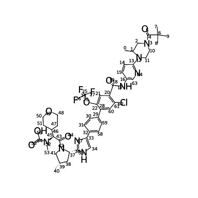 CC1CN(C(=O)C(C)(C)C)CCN1c1ccc(NC(=O)c2cc(OC(F)(F)F)c(-c3ccc(-c4c[nH]c([C@@H]5C[C@H](C)CN5C(=O)[C@H](C5CCOCC5)N(C)C(=O)O)n4)cc3)cc2Cl)cn1